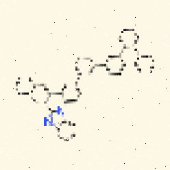 c1cc(-c2ccc3c4ccccc4c4ccccc4c3c2)cc(-c2ccc3c(c2)c2cc4ccccc4cc2c2nc4ccccc4n32)c1